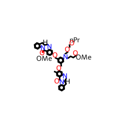 CCCOCCOCCN(CCCC(=O)OC)c1cc(COc2cc3c(cc2C)C(=O)N2c4ccccc4C[C@H]2C=N3)cc(COc2cc3c(cc2OC)C(=O)N2c4ccccc4C[C@H]2C=N3)c1